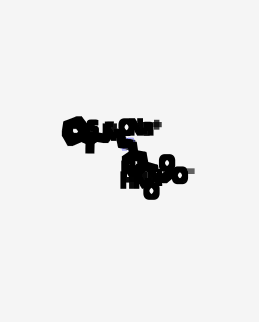 Cc1c(CN(C)C(=O)/C=C/c2cnc3c(c2)CN(CC(=O)[O-])C(=O)N3)sc2ccccc12.[Na+]